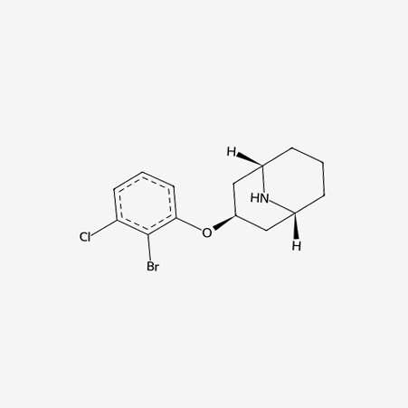 Clc1cccc(O[C@@H]2C[C@H]3CCC[C@@H](C2)N3)c1Br